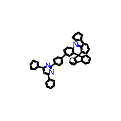 c1ccc(-c2cc(-c3ccccc3)nc(-c3ccc(-c4ccc5c(c4)C4(c6ccccc6-c6ccccc64)c4cccc6c7ccccc7n-5c46)cc3)n2)cc1